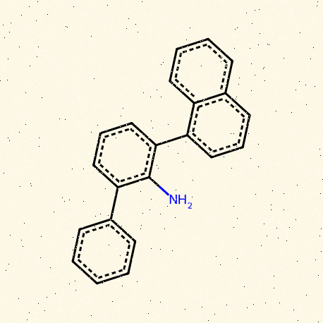 Nc1c(-c2ccccc2)cccc1-c1cccc2ccccc12